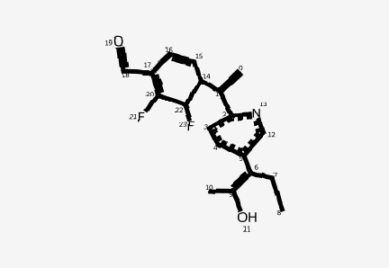 C=C(c1ccc(/C(CC)=C(\C)O)cn1)C1C=CC(C=O)=C(F)C1F